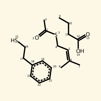 CC(=O)SCC=C(C)C.CCCC(=O)O.SCCc1ccccc1